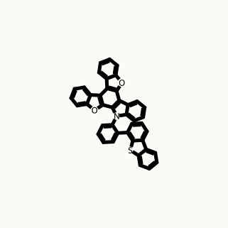 c1ccc(-n2c3ccccc3c3c4oc5ccccc5c4c4c5ccccc5oc4c32)c(-c2cccc3c2sc2ccccc23)c1